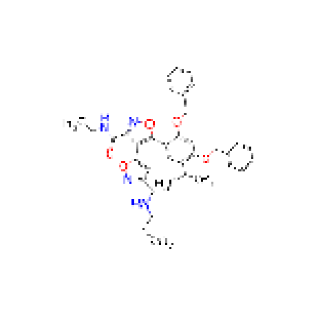 C=CCNCc1cc(-c2c(C(=O)NCC)noc2-c2cc(C(C)C)c(OCc3ccccc3)cc2OCc2ccccc2)on1